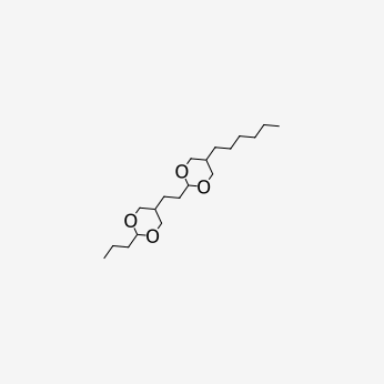 CCCCCCC1COC(CCC2COC(CCC)OC2)OC1